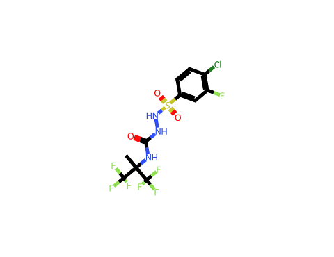 CC(NC(=O)NNS(=O)(=O)c1ccc(Cl)c(F)c1)(C(F)(F)F)C(F)(F)F